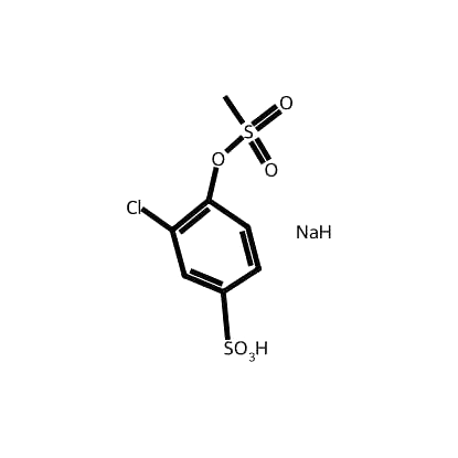 CS(=O)(=O)Oc1ccc(S(=O)(=O)O)cc1Cl.[NaH]